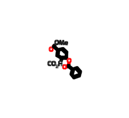 COC(=O)c1ccc(OC(=O)c2ccccc2)c(C(=O)O)c1